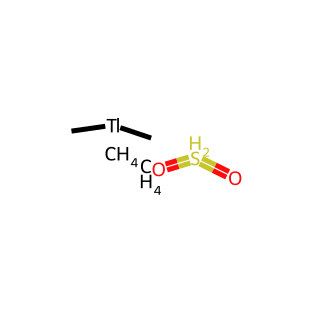 C.C.O=[SH2]=O.[CH3][Tl][CH3]